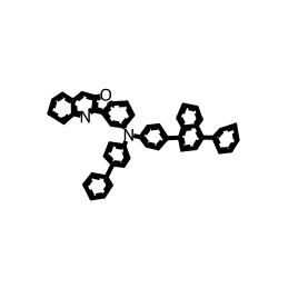 c1ccc(-c2ccc(N(c3ccc(-c4ccc(-c5ccccc5)c5ccccc45)cc3)c3ccc4oc5cc6ccccc6nc5c4c3)cc2)cc1